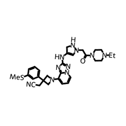 CCN1CCN(C(=O)CN2C=C(Nc3nc4c(N5CC(CC#N)(c6cccc(SC)c6)C5)cccn4n3)CN2)CC1